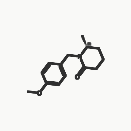 COc1ccc(CN2C(=O)CCC[C@H]2C)cc1